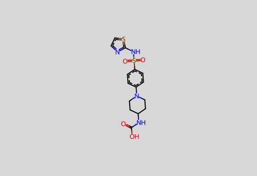 O=C(O)NC1CCN(c2ccc(S(=O)(=O)Nc3nccs3)cc2)CC1